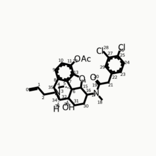 C=CCN1CC[C@]23c4c5ccc(OC(C)=O)c4OC2C(N(C)C(=O)Cc2ccc(Cl)c(Cl)c2)CC[C@@]3(O)[C@H]1C5